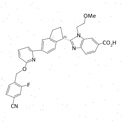 COCCn1c([C@H]2CCc3cc(-c4cccc(OCc5ccc(C#N)cc5F)n4)ccc32)nc2ccc(C(=O)O)cc21